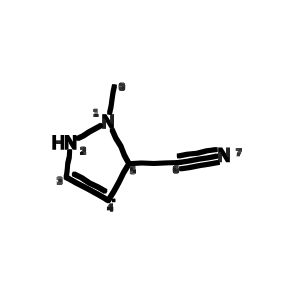 CN1NC=[C]C1C#N